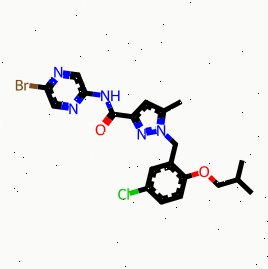 Cc1cc(C(=O)Nc2cnc(Br)cn2)nn1Cc1cc(Cl)ccc1OCC(C)C